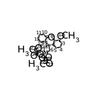 COc1cccc2c1Oc1ccccc1C2(CCOS(C)(=O)=O)CCOS(C)(=O)=O